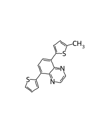 Cc1ccc(-c2ccc(-c3cccs3)c3nccnc23)s1